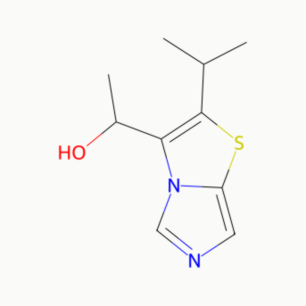 CC(C)c1sc2cncn2c1C(C)O